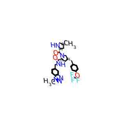 C[C@H]1CN[C@@H](C(=O)N2C[C@H](Cc3ccc(OC(F)(F)F)cc3)C[C@H]2C(=O)NCc2ccc3c(c2)nnn3C)C1